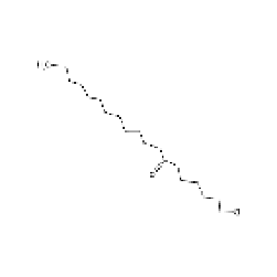 CCCCCCCCCCCCC(=O)CCCCCCCl